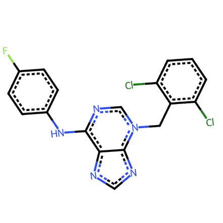 Fc1ccc(Nc2ncn(Cc3c(Cl)cccc3Cl)c3ncnc2-3)cc1